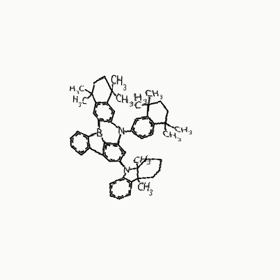 CC1(C)CCC(C)(C)c2cc(N3c4cc5c(cc4B4c6ccccc6-c6cc(N7c8ccccc8C8(C)CCCCC78C)cc3c64)C(C)(C)CCC5(C)C)ccc21